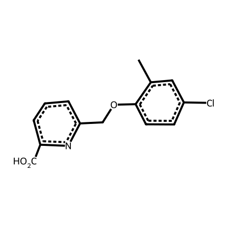 Cc1cc(Cl)ccc1OCc1cccc(C(=O)O)n1